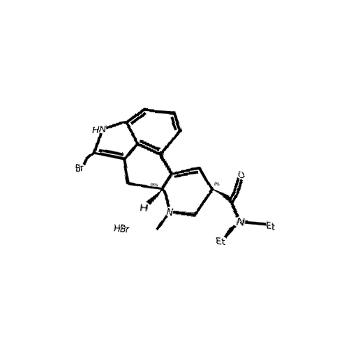 Br.CCN(CC)C(=O)[C@@H]1C=C2c3cccc4[nH]c(Br)c(c34)C[C@H]2N(C)C1